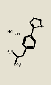 Cl.Cl.NC(Cc1ccc(C2=NCCN2)cc1)C(=O)O